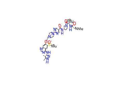 CNCC(=O)N[C@H](C(=O)N1C[C@@H](NC(=O)c2cnc(N3CCN(CCOc4cc5ncnc(Nc6n[nH]c(C)c6C)c5cc4[S+]([O-])C(C)(C)C)CC3)nc2)C[C@H]1C)C(C)(C)C